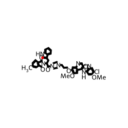 COc1cc(Nc2c(C#N)cnc3cc(OCCCN4CCN(C(=O)C(Cc5c[nH]c6ccccc56)N5C(=O)c6ccc(C)cc6C5=O)CC4)c(OC)cc23)c(Cl)cc1Cl